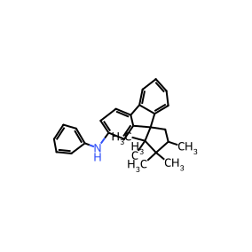 CC1CC2(c3ccccc3-c3ccc(Nc4ccccc4)cc32)C(C)(C)C1(C)C